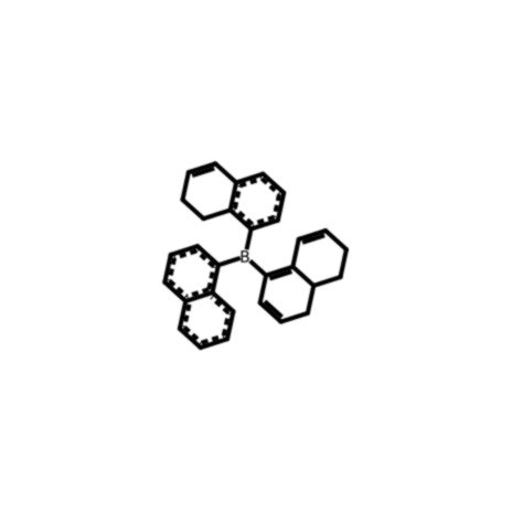 C1=Cc2cccc(B(C3=C4C=CCCC4CC=C3)c3cccc4ccccc34)c2CC1